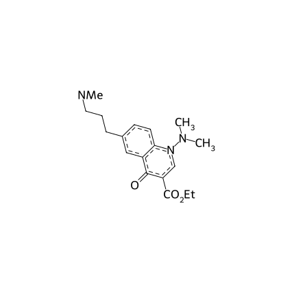 CCOC(=O)c1cn(N(C)C)c2ccc(CCCNC)cc2c1=O